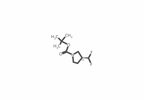 CC(C)(C)OC(=O)N1CC[C@H](C(F)F)C1